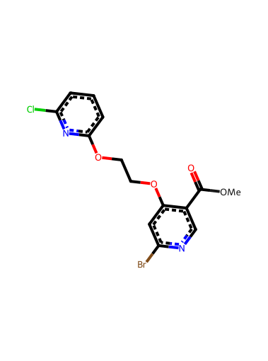 COC(=O)c1cnc(Br)cc1OCCOc1cccc(Cl)n1